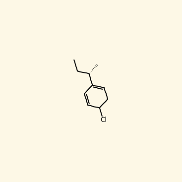 CC[C@H](C)C1=CCC(Cl)C=C1